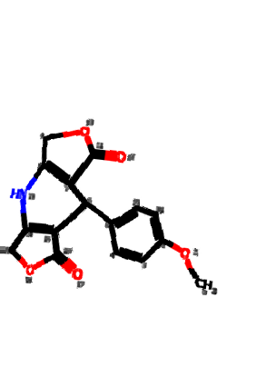 COc1ccc(C2C3=C(COC3=O)NC3=C2C(=O)OC3)cc1